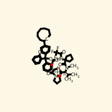 CC(C)[C@@H](C(=O)N[C@@H](CC(=O)OC(c1ccccc1)(c1ccc(C2CCCCCCCC2)cc1)c1ccccc1Cl)C(=O)N1CCCC1)N(C)C(=O)C1(NC(=O)C(F)(F)F)CCCC1